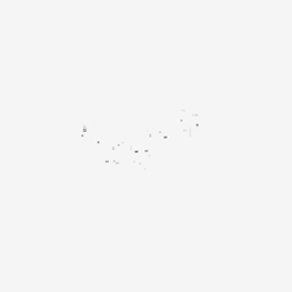 Cc1cc(Cl)ccc1-c1cn2c(C(=O)N3CCn4c(nnc4C(F)(F)F)C3)cnc2cc1CN